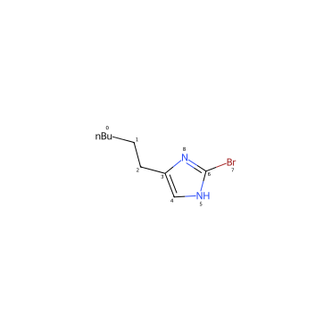 CCCCCCc1c[nH]c(Br)n1